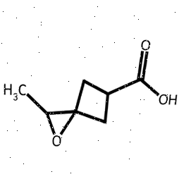 CC1OC12CC(C(=O)O)C2